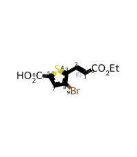 CCOC(=O)/C=C/c1sc(C(=O)O)cc1Br